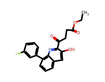 CCOC(=O)CCC(=O)c1nc2c(-c3cccc(F)c3)cccc2cc1O